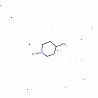 [CH2]N1CCC(C)CC1